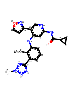 COc1c(Nc2cc(NC(=O)C3CC3)ncc2-c2ccon2)cccc1-c1nnn(C)n1